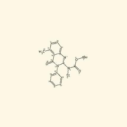 CCN(C(=O)OC(C)(C)C)c1nc2cccc(C)c2c(=O)n1-c1ccccc1